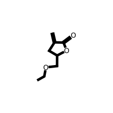 C=C1CC(COCC)OC1=O